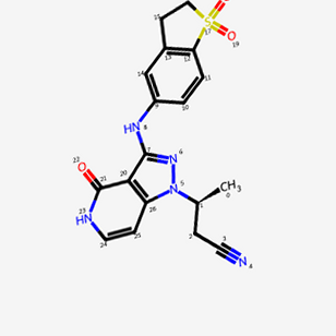 C[C@@H](CC#N)n1nc(Nc2ccc3c(c2)CCS3(=O)=O)c2c(=O)[nH]ccc21